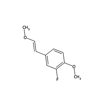 COC=Cc1ccc(OC)c(F)c1